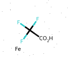 O=C(O)C(F)(F)F.[Fe]